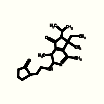 CCC1(C)C2=C(C(=O)N1C(C)C)N(C)C(NCCN1CCCC1=O)N=C2N